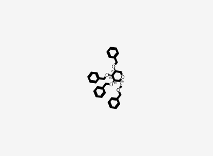 [CH]1O[C@H](COCc2ccccc2)[C@@H](OCc2ccccc2)[C@@H](OCc2ccccc2)[C@H]1OCc1ccccc1